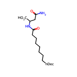 CCCCCCCCCCCCCCCCCC(=O)NC(CC(N)=O)C(=O)O